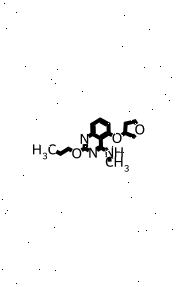 CCCOc1nc(NC)c2c(OC3CCOC3)cccc2n1